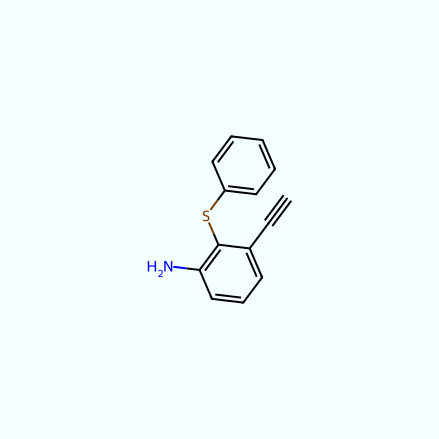 C#Cc1cccc(N)c1Sc1ccccc1